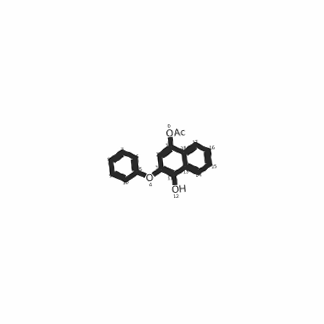 CC(=O)Oc1cc(Oc2ccccc2)c(O)c2ccccc12